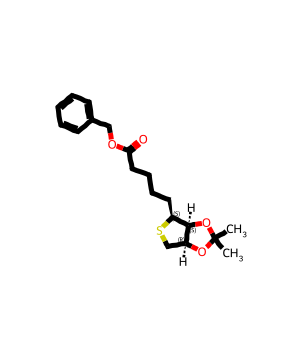 CC1(C)O[C@H]2[C@H](CS[C@H]2CCCCC(=O)OCc2ccccc2)O1